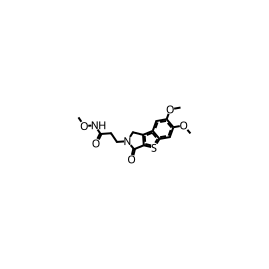 CONC(=O)CCN1Cc2c(sc3cc(OC)c(OC)cc23)C1=O